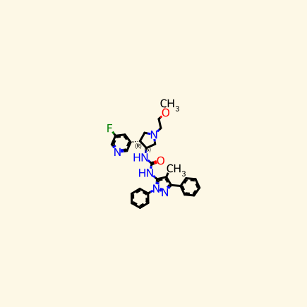 COCCN1C[C@@H](NC(=O)Nc2c(C)c(-c3ccccc3)nn2-c2ccccc2)[C@H](c2cncc(F)c2)C1